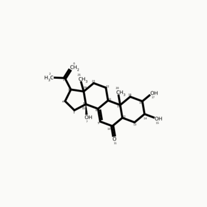 C=C(C)C1CC[C@@]2(O)C3=CC(=O)C4CC(O)C(O)CC4(C)C3CCC12C